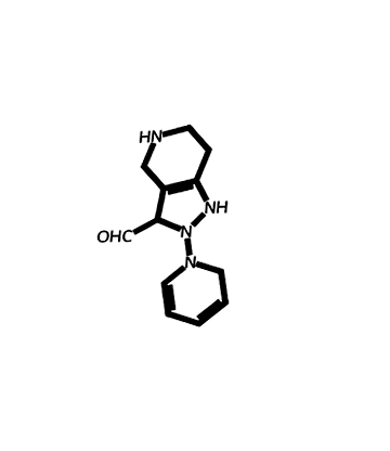 O=CC1C2=C(CCNC2)NN1N1C=CC=CC1